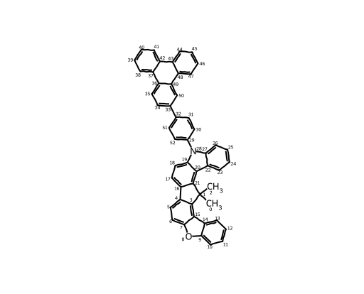 CC1(C)c2c(ccc3oc4ccccc4c23)-c2ccc3c(c21)c1ccccc1n3-c1ccc(-c2ccc3c4ccccc4c4ccccc4c3c2)cc1